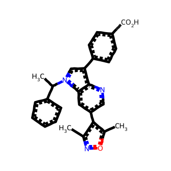 Cc1noc(C)c1-c1cnc2c(-c3ccc(C(=O)O)cc3)cn(C(C)c3ccccc3)c2c1